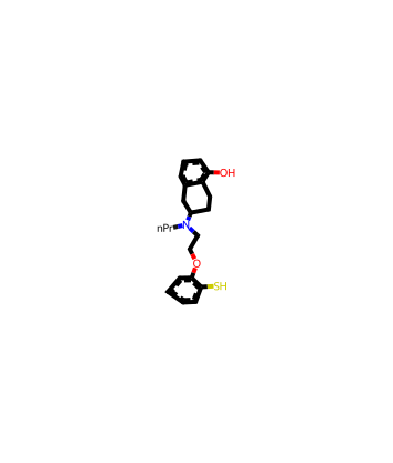 CCCN(CCOc1ccccc1S)C1CCc2c(O)cccc2C1